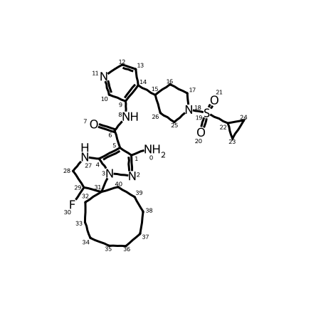 Nc1nn2c(c1C(=O)Nc1cnccc1C1CCN(S(=O)(=O)C3CC3)CC1)NCC(F)C21CCCCCCCCC1